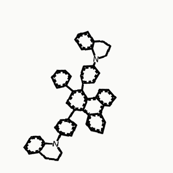 c1ccc(-c2cc(-c3ccc(N4CCCc5ccccc54)cc3)c3c4ccccc4c4ccccc4c3c2-c2ccc(N3CCCc4ccccc43)cc2)cc1